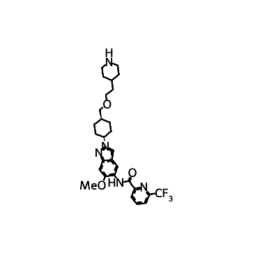 COc1cc2nn([C@H]3CC[C@H](COCCC4CCNCC4)CC3)cc2cc1NC(=O)c1cccc(C(F)(F)F)n1